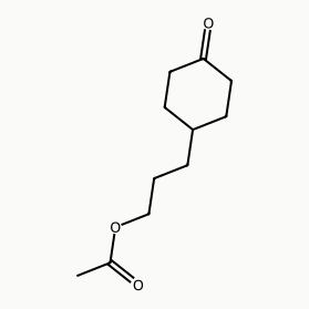 CC(=O)OCCCC1CCC(=O)CC1